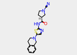 N#CN1CC[C@H](C(=O)Nc2ncc(N3CCc4ccccc4C3)s2)C1